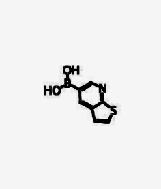 OB(O)c1cnc2sccc2c1